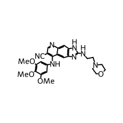 COc1cc(Nc2c(C#N)cnc3cc4[nH]c(NCCN5CCOCC5)nc4cc23)cc(OC)c1OC